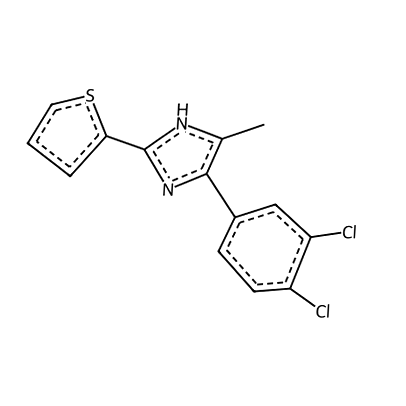 Cc1[nH]c(-c2cccs2)nc1-c1ccc(Cl)c(Cl)c1